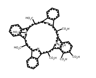 O=C(O)c1ccc2c(c1C(=O)O)c1c(C(=O)O)c3nc(c(C(=O)O)c4c5ccccc5c(c(C(=O)O)c5nc(c(C(=O)O)c2n1C(=O)O)-c1ccccc1-5)n4C(=O)O)-c1ccccc1-3